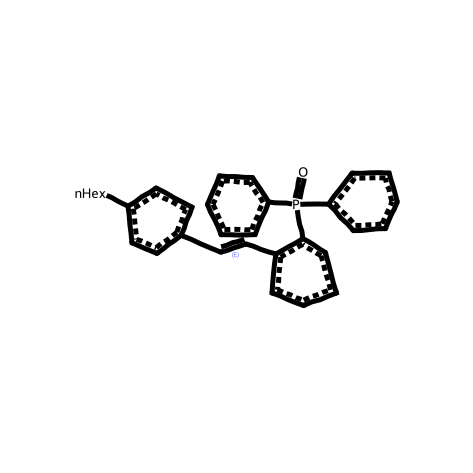 CCCCCCc1ccc(/C=C/c2ccccc2P(=O)(c2ccccc2)c2ccccc2)cc1